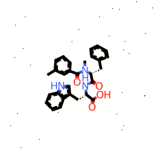 Cc1cccc(C(=O)N(C)[C@H](Cc2ccccc2)C(=O)N[C@@H](Cc2c[nH]c3ccccc23)C(=O)O)c1